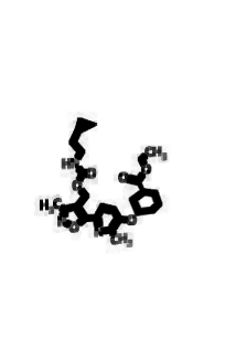 CCOC(=O)[C@H]1CCC[C@H](Oc2ccc(-c3onc(C)c3COC(=O)NCCC3CC3)nc2C)C1